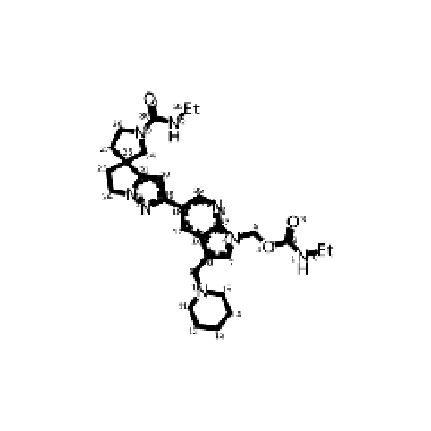 CCNC(=O)OCn1cc(CN2CCCCC2)c2cc(-c3cc4n(n3)CCC43CCN(C(=O)NCC)C3)cnc21